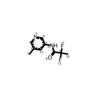 Cc1cncc(NC(=O)C(C)(F)F)c1